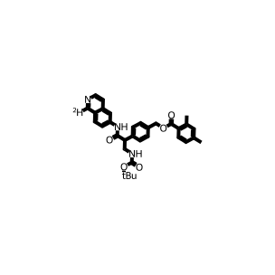 [2H]c1nccc2cc(NC(=O)C(CNC(=O)OC(C)(C)C)c3ccc(COC(=O)c4ccc(C)cc4C)cc3)ccc12